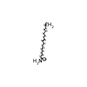 C=CCCCCCC/C=C/CCCCCCCCC(N)=O